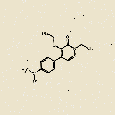 C[S+]([O-])c1ccc(-c2cnn(CC(F)(F)F)c(=O)c2OCC(C)(C)C)cc1